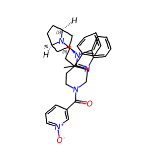 Cc1nc2ccccc2n1[C@H]1C[C@H]2CC[C@@H](C1)N2CCC1(c2ccccc2)CCN(C(=O)c2ccc[n+]([O-])c2)CC1